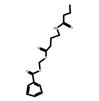 CCCC(=O)NCCCC(=O)OCOC(=O)c1ccccc1